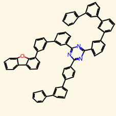 c1ccc(-c2cccc(-c3ccc(-c4nc(-c5cccc(-c6cccc(-c7cccc(-c8ccccc8)c7)c6)c5)nc(-c5cccc(-c6cccc(-c7cccc8c7oc7ccccc78)c6)c5)n4)cc3)c2)cc1